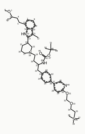 COC(F)CCc1cccc2c(C)c(C3CCCN(CCC(Cc4ccc(-c5ccc(OCOCC[Si](C)(C)C)nc5)cc4)NC(=O)OC(C)(C)C)C3)[nH]c12